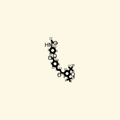 COc1c(C(C)(C)C)cc(C(=O)C=Cc2ccc(C(=O)Oc3ccc(NC(C)=O)cc3)cc2)cc1C(C)(C)C